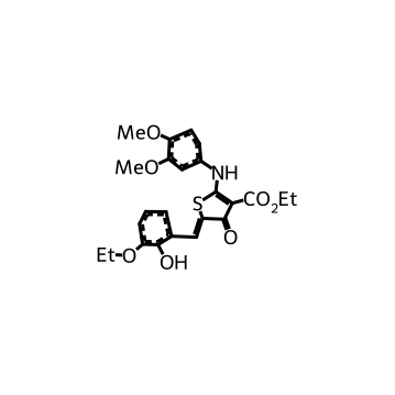 CCOC(=O)C1=C(Nc2ccc(OC)c(OC)c2)SC(=Cc2cccc(OCC)c2O)C1=O